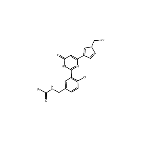 CC(C)Cn1cc(-c2cc(=O)[nH]c(-c3cc(CNC(=O)C(C)C)ccc3Cl)n2)cn1